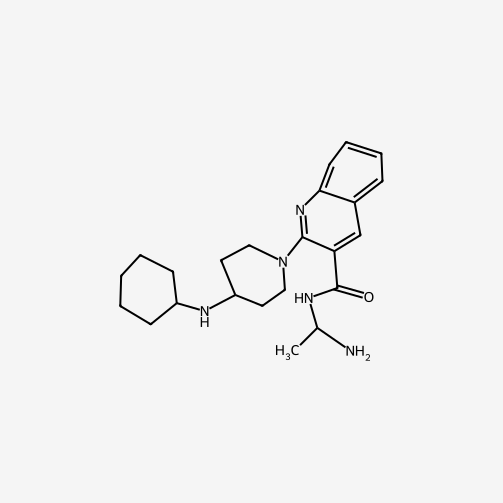 CC(N)NC(=O)c1cc2ccccc2nc1N1CCC(NC2CCCCC2)CC1